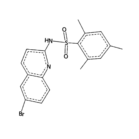 Cc1cc(C)c(S(=O)(=O)Nc2ccc3cc(Br)ccc3n2)c(C)c1